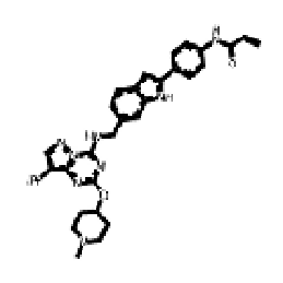 C=CC(=O)Nc1ccc(-c2cc3ccc(CNc4nc(OC5CCN(C)CC5)nc5c(C(C)C)cnn45)cc3[nH]2)cc1